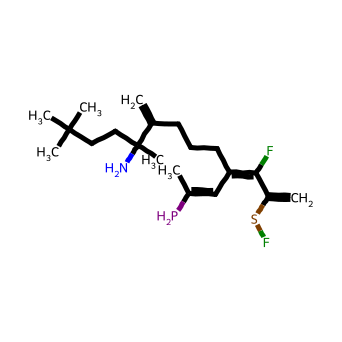 C=C(SF)/C(F)=C(\C=C(/C)P)CCCC(=C)C(C)(N)CCC(C)(C)C